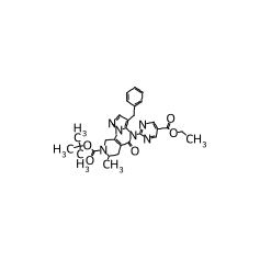 CCOC(=O)c1cnc(-n2c(=O)c3c(n4ncc(Cc5ccccc5)c24)CN(C(=O)OC(C)(C)C)C(C)C3)nc1